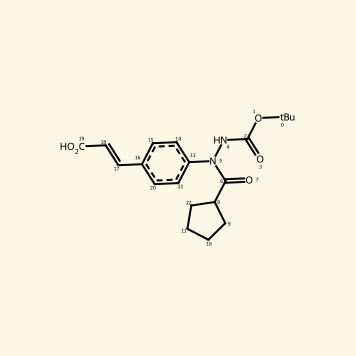 CC(C)(C)OC(=O)NN(C(=O)C1CCCC1)c1ccc(/C=C/C(=O)O)cc1